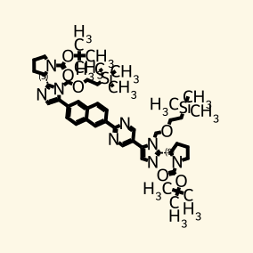 CC(C)(C)OC(=O)N1CCC[C@H]1c1ncc(-c2cnc(-c3ccc4cc(-c5cnc([C@@H]6CCCN6C(=O)OC(C)(C)C)n5COCC[Si](C)(C)C)ccc4c3)nc2)n1COCC[Si](C)(C)C